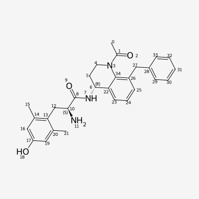 CC(=O)N1CC[C@@H](NC(=O)[C@@H](N)Cc2c(C)cc(O)cc2C)c2cccc(Cc3ccccc3)c21